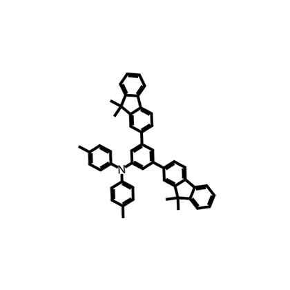 Cc1ccc(N(c2ccc(C)cc2)c2cc(-c3ccc4c(c3)C(C)(C)c3ccccc3-4)cc(-c3ccc4c(c3)C(C)(C)c3ccccc3-4)c2)cc1